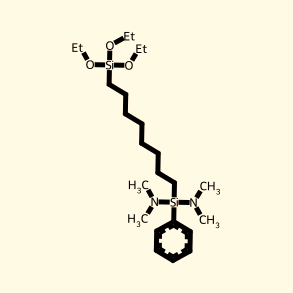 CCO[Si](CCCCCCCC[Si](c1ccccc1)(N(C)C)N(C)C)(OCC)OCC